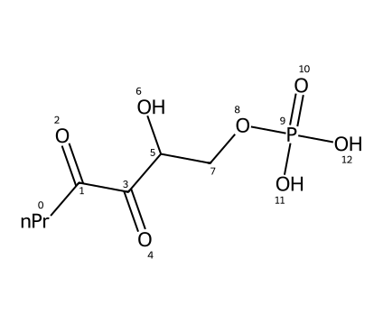 CCCC(=O)C(=O)C(O)COP(=O)(O)O